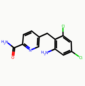 NC(=O)c1ccc(Cc2c(N)cc(Cl)cc2Cl)cn1